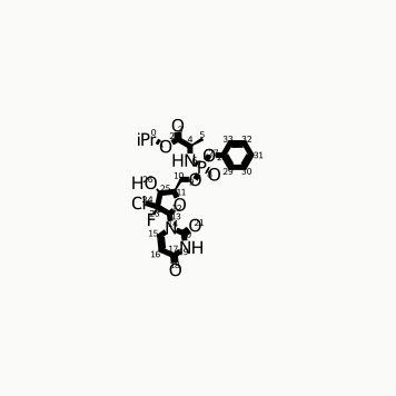 CC(C)OC(=O)[C@@H](C)NP(=O)(OC[C@H]1OC(n2ccc(=O)[nH]c2=O)[C@@](F)(Cl)[C@@H]1O)Oc1ccccc1